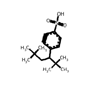 CC(C)(C)CC(c1c#cc(S(=O)(=O)O)cc1)C(C)(C)C